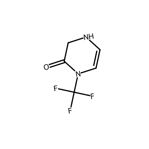 O=C1CNC=CN1C(F)(F)F